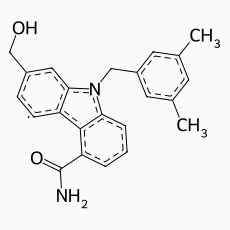 Cc1cc(C)cc(Cn2c3cc(CO)c[c]c3c3c(C(N)=O)cccc32)c1